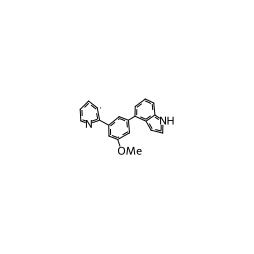 COc1cc(-c2[c]cccn2)cc(-c2cccc3[nH]ccc23)c1